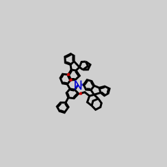 CCC1CC2CCCC(C2)C12c1ccccc1-c1ccc(N(c3ccc4c(c3)C3(CC5CCC3C5)c3ccccc3-4)c3ccc(-c4ccccc4)cc3-c3ccccc3)cc12